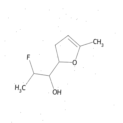 CC1=CCC(C(O)C(C)F)O1